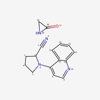 N#CC1CCCN1c1ccnc2ccccc12.O=C1CN1